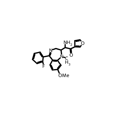 COc1ccc2c(c1)N(C)C(C(N)C(=O)c1ccoc1)CN=C2c1ccccc1F